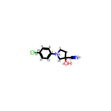 N#CC1(O)CCN(c2ccc(Cl)cc2)C1